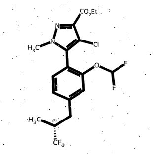 CCOC(=O)c1nn(C)c(-c2ccc(C[C@@H](C)C(F)(F)F)cc2OC(F)F)c1Cl